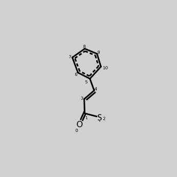 O=C([S])C=Cc1ccccc1